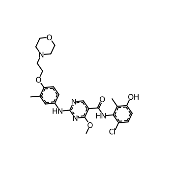 COc1nc(Nc2ccc(OCCN3CCOCC3)c(C)c2)ncc1C(=O)Nc1c(Cl)ccc(O)c1C